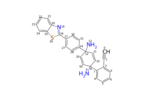 C#Cc1ccccc1C1(N)C=CC(N)(c2ccc(-c3nc4ccccc4s3)cc2)C=C1